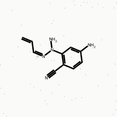 C=C/C=N\N(N)c1cc(N)ccc1C#N